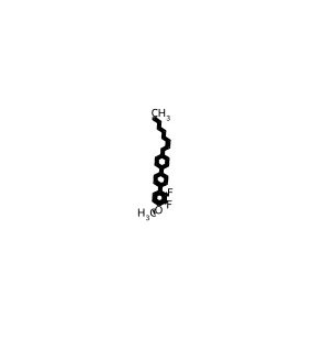 CCCCCC/C=C\CC1CCC(C2CC=C(c3ccc(OC)c(F)c3F)CC2)CC1